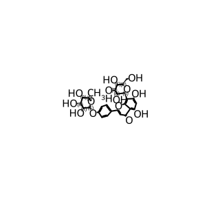 C[C@@H]1O[C@@H](Oc2ccc(-c3cc(=O)c4c(O)cc(O)c([C@@H]5O[C@H](CO)[C@@H](O)[C@H](O)[C@H]5O)c4o3)cc2)[C@H](O)[C@H](O)[C@H]1O